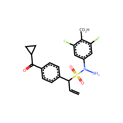 C=CC(c1ccc(C(=O)C2CC2)cc1)S(=O)(=O)N(N)c1cc(F)c(C(=O)O)c(F)c1